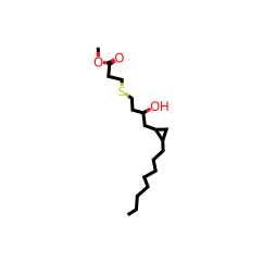 CCCCCCCCC1CC1CC(O)CCSCCC(=O)OC